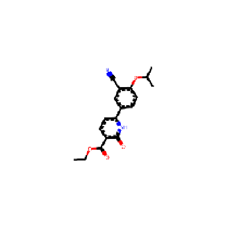 CCOC(=O)c1ccc(-c2ccc(OC(C)C)c(C#N)c2)[nH]c1=O